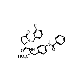 O=C(Nc1ccc(C[C@H](NC(=O)[C@@H]2CCC(=O)N2Cc2cccc(Cl)c2)C(=O)O)cc1)c1ccccc1